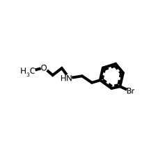 COCCNCCc1cccc(Br)c1